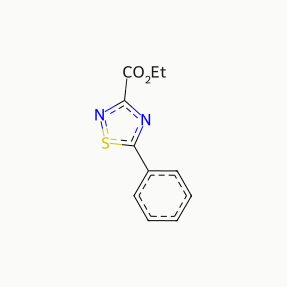 CCOC(=O)c1nsc(-c2ccccc2)n1